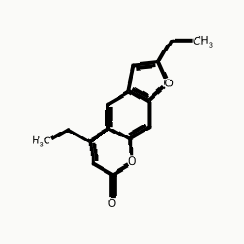 CCc1cc2cc3c(CC)cc(=O)oc3cc2o1